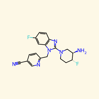 N#Cc1ccc(Cn2c(N3CC[C@@H](F)[C@H](N)C3)nc3ccc(F)cc32)nc1